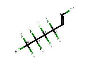 FC=CC(F)(F)C(F)(F)C(F)(F)C(F)(F)F